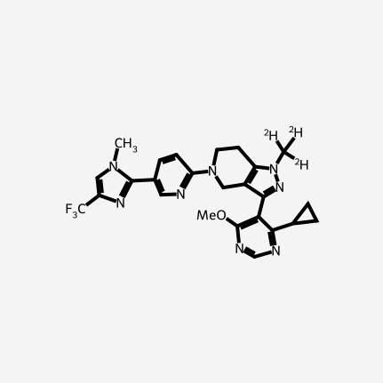 [2H]C([2H])([2H])n1nc(-c2c(OC)ncnc2C2CC2)c2c1CCN(c1ccc(-c3nc(C(F)(F)F)cn3C)cn1)C2